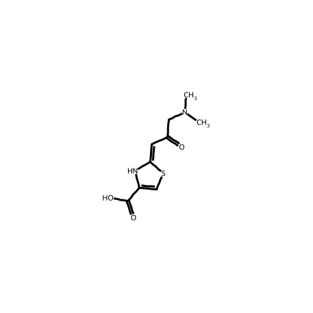 CN(C)CC(=O)C=C1NC(C(=O)O)=CS1